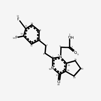 O=C(O)Cn1c(CCc2ccc(F)c(F)c2)nc(=O)c2c1CCC2